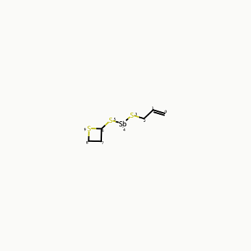 C=CC[S][Sb][S]C1CCS1